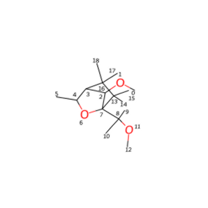 COC1C2C(C)OC1(C(C)(C)OC)C(C)(C)C2(C)C